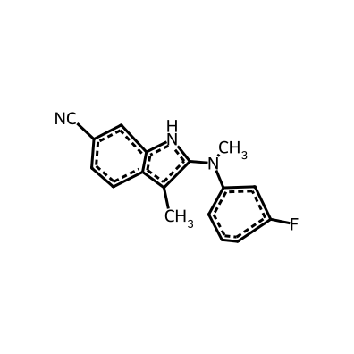 Cc1c(N(C)c2cccc(F)c2)[nH]c2cc(C#N)ccc12